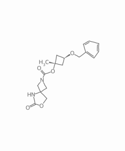 C[C@]1(OC(=O)N2CC3(COC(=O)N3)C2)C[C@H](OCc2ccccc2)C1